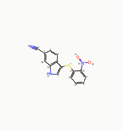 N#Cc1ccc2c(Sc3ccccc3[N+](=O)[O-])c[nH]c2c1